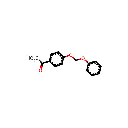 O=C(O)C(=O)c1ccc(OCOc2ccccc2)cc1